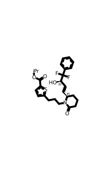 CC(C)OC(=O)c1ccc(CCCN2C(=O)CCC[C@@H]2C=C[C@@H](O)C(F)(F)c2ccccc2)s1